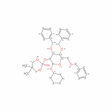 CC1(C)COP(=O)(OC2C(OC3CCCCC3)OC(COCc3ccccc3)C(OCc3ccccc3)C2OCc2ccccc2)OC1